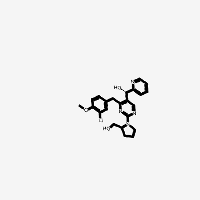 COc1ccc(Cc2nc(N3CCCC3CO)ncc2[C@H](O)c2ccccn2)cc1Cl